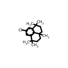 CC1(C)CCC2(C)CCC(C)(C)c3cc(Cl)cc1c32